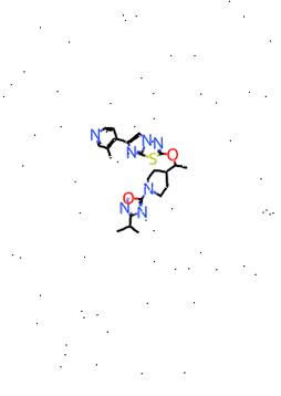 Cc1cnccc1-c1cn2nc(OC(C)C3CCN(c4nc(C(C)C)no4)CC3)sc2n1